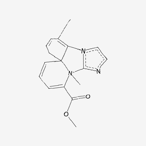 COC(=O)C1=CC=CC23CC=CC(C)=C2n2ccnc2[N+]13C